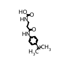 CN(C)c1ccc(NC(=O)CCNC(=O)O)cc1